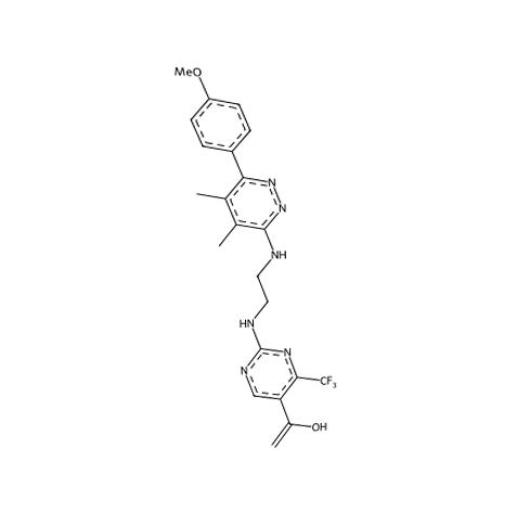 C=C(O)c1cnc(NCCNc2nnc(-c3ccc(OC)cc3)c(C)c2C)nc1C(F)(F)F